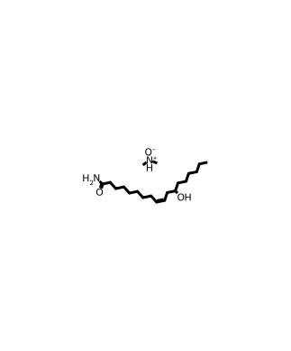 CCCCCCC(O)C/C=C\CCCCCCCC(N)=O.C[NH+](C)[O-]